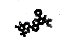 Cc1c(F)cc(C(C)(C)C)cc1/C=N\N(C=O)c1cccc(-c2cc(C(=N)N)c(N)c(-c3ccccn3)c2)c1CO